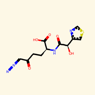 [N-]=[N+]=CC(=O)CC[C@H](NC(=O)[C@H](O)c1cscn1)C(=O)O